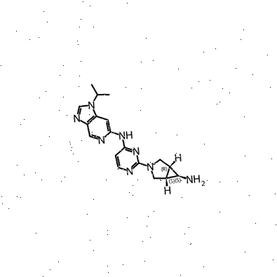 CC(C)n1cnc2cnc(Nc3ccnc(N4C[C@@H]5[C@@H](N)[C@@H]5C4)n3)cc21